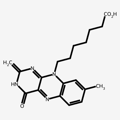 C=c1nc2c(c(=O)[nH]1)=Nc1ccc(C)cc1N2CCCCCCC(=O)O